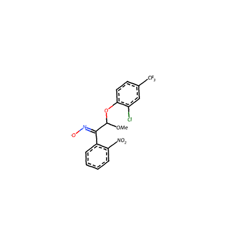 COC(Oc1ccc(C(F)(F)F)cc1Cl)C(=N[O])c1ccccc1[N+](=O)[O-]